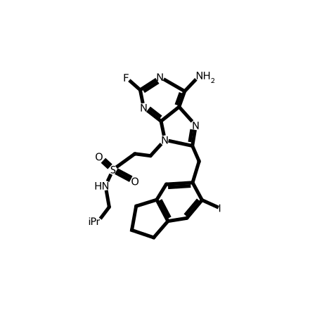 CC(C)CNS(=O)(=O)CCn1c(Cc2cc3c(cc2I)CCC3)nc2c(N)nc(F)nc21